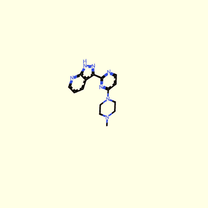 CN1CCN(c2ccnc(-c3n[nH]c4ncccc34)n2)CC1